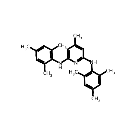 Cc1cc(Nc2c(C)cc(C)cc2C)nc(Nc2c(C)cc(C)cc2C)c1